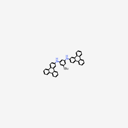 CC(C)(C)c1cc(Nc2ccc3c4ccccc4c4ccccc4c3c2)cc(Nc2ccc3c4ccccc4c4ccccc4c3c2)c1